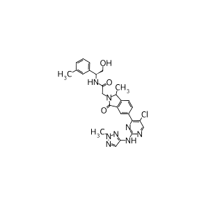 Cc1cccc([C@@H](CO)NC(=O)CN2C(=O)c3cc(-c4nc(Nc5cnn(C)n5)ncc4Cl)ccc3C2C)c1